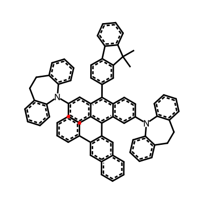 CC1(C)c2ccccc2-c2ccc(-c3c4cc(N5c6ccccc6CCc6ccccc65)ccc4c(-c4cc5ccccc5cc4-c4ccccc4)c4cc(N5c6ccccc6CCc6ccccc65)ccc34)cc21